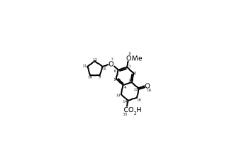 COc1cc2c(cc1OC1CCCC1)CC(C(=O)O)CC2=O